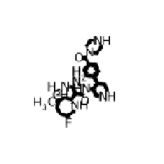 CC1(C)CCC(F)CNC(C(C(=O)NC2CNCCC2c2ccc(C(=O)N3CCNCC3)cc2)C(N)N)C1